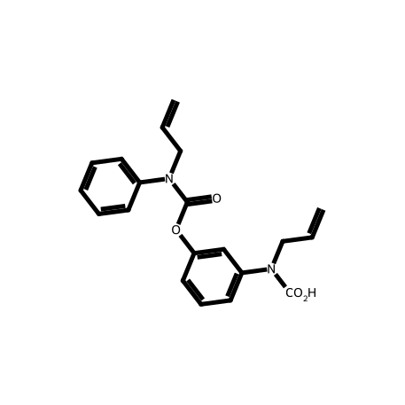 C=CCN(C(=O)O)c1cccc(OC(=O)N(CC=C)c2ccccc2)c1